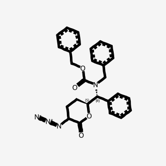 [N-]=[N+]=NC1CC[C@@H]([C@@H](c2ccccc2)N(Cc2ccccc2)C(=O)OCc2ccccc2)OC1=O